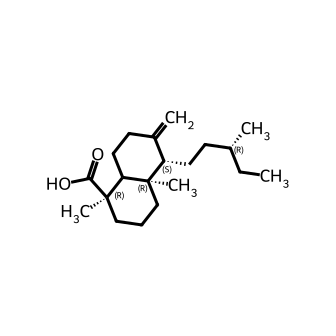 C=C1CCC2[C@](C)(C(=O)O)CCC[C@]2(C)[C@H]1CC[C@H](C)CC